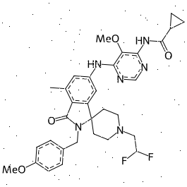 COc1ccc(CN2C(=O)c3c(C)cc(Nc4ncnc(NC(=O)C5CC5)c4OC)cc3C23CCN(CC(F)F)CC3)cc1